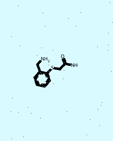 [NH]C(=O)CSc1ccccc1CN